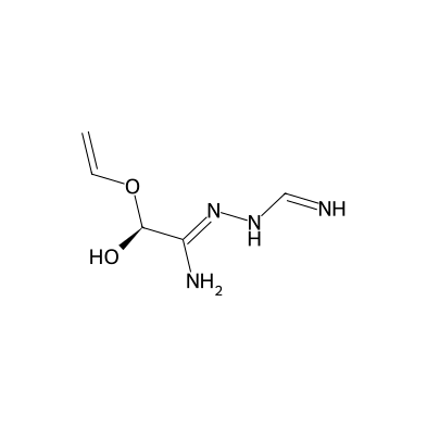 C=CO[C@H](O)/C(N)=N/NC=N